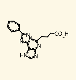 O=C(O)CCCc1nc2nc[nH]c2c2nc(-c3ccccc3)nn12